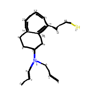 CCCN(CCC)C1CCc2cccc(CCS)c2C1